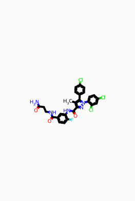 Cc1c(C(=O)Nc2cc(C(=O)NCCC(N)=O)ccc2F)nn(-c2ccc(Cl)cc2Cl)c1-c1ccc(Cl)cc1